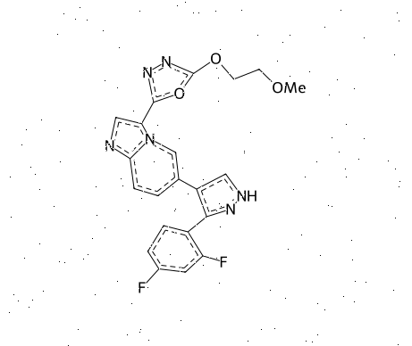 COCCOc1nnc(-c2cnc3ccc(-c4c[nH]nc4-c4ccc(F)cc4F)cn23)o1